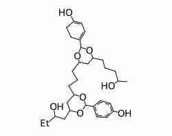 CCC(O)CC1CC(CCCC2CC(CCCC(C)O)OC(C3=CC=C(O)CC3)O2)OC(c2ccc(O)cc2)O1